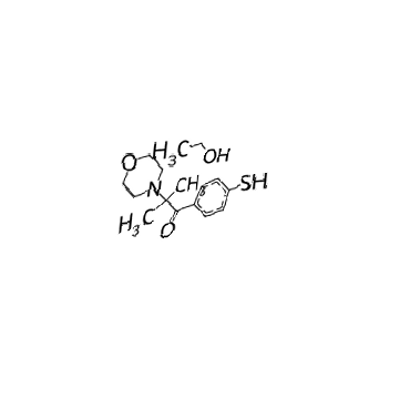 CC(C)(C(=O)c1ccc(S)cc1)N1CCOCC1.CCO